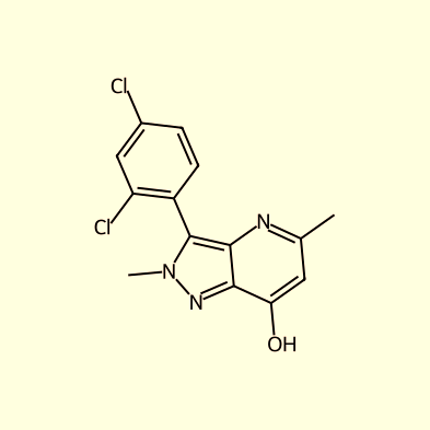 Cc1cc(O)c2nn(C)c(-c3ccc(Cl)cc3Cl)c2n1